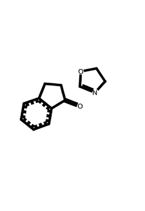 C1=NCCO1.O=C1CCc2ccccc21